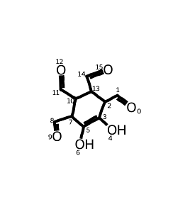 O=CC1C(O)=C(O)C(C=O)C(C=O)C1C=O